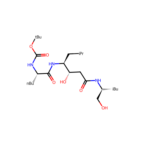 CCCC[C@H](NC(=O)OC(C)(C)C)C(=O)N[C@@H](CC(C)C)[C@@H](O)CC(=O)N[C@H](CO)[C@@H](C)CC